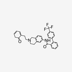 O=C1CC=CC=C1CCN1CCc2cc(NC(=O)c3ccccc3-c3ccc(C(F)(F)F)cc3)ccc2C1